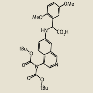 COc1ccc(OC)c(C(Nc2ccc3c(N(C(=O)OC(C)(C)C)C(=O)OC(C)(C)C)cncc3c2)C(=O)O)c1